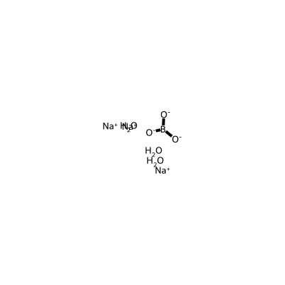 O.O.O.[Na+].[Na+].[Na+].[O-]B([O-])[O-]